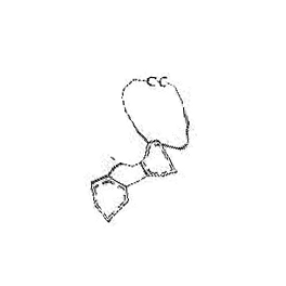 [CH]1c2ccccc2-c2ccc3c(c21)CCCCCCCCCCC3